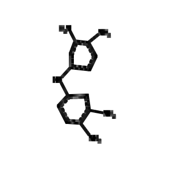 Nc1ccc(Bc2ccc(N)c(N)c2)cc1N